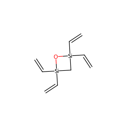 C=C[Si]1(C=C)C[Si](C=C)(C=C)O1